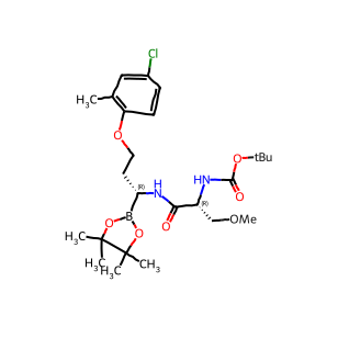 COC[C@@H](NC(=O)OC(C)(C)C)C(=O)N[C@@H](CCOc1ccc(Cl)cc1C)B1OC(C)(C)C(C)(C)O1